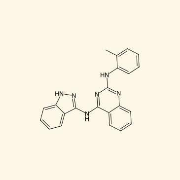 Cc1ccccc1Nc1nc(Nc2n[nH]c3ccccc23)c2ccccc2n1